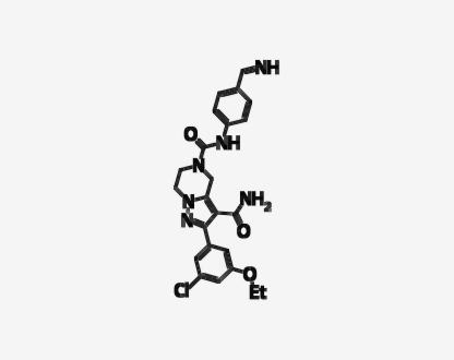 CCOc1cc(Cl)cc(-c2nn3c(c2C(N)=O)CN(C(=O)Nc2ccc(C=N)cc2)CC3)c1